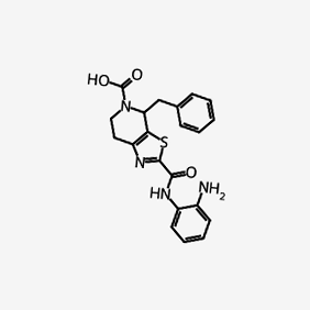 Nc1ccccc1NC(=O)c1nc2c(s1)C(Cc1ccccc1)N(C(=O)O)CC2